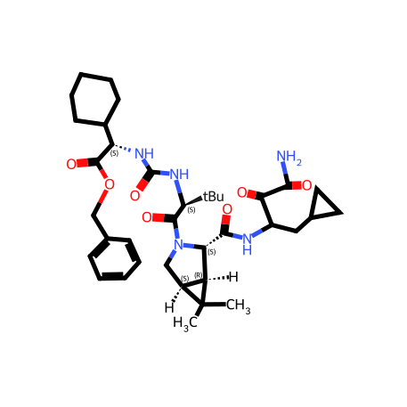 CC(C)(C)[C@H](NC(=O)N[C@H](C(=O)OCc1ccccc1)C1CCCCC1)C(=O)N1C[C@H]2[C@@H]([C@H]1C(=O)NC(CC1CC1)C(=O)C(N)=O)C2(C)C